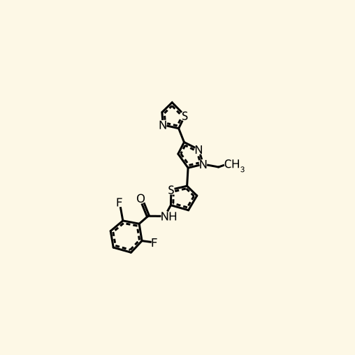 CCn1nc(-c2nccs2)cc1-c1ccc(NC(=O)c2c(F)cccc2F)s1